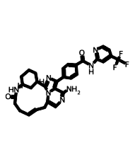 Nc1ncc2n3c(nc(-c4ccc(C(=O)Nc5cc(C(F)(F)F)ccn5)cc4)c13)[C@@H]1CCC[C@H](C1)NC(=O)CC/C=C/C2